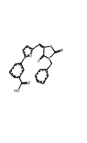 O=C(O)c1cccc(-c2ccc(C=C3SC(=S)N(Cc4ccccc4)C3=O)o2)c1